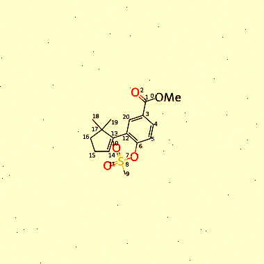 COC(=O)c1ccc(OS(C)(=O)=O)c(C2=CCCC2(C)C)c1